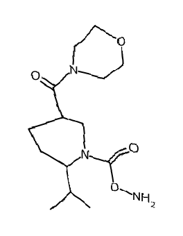 CC(C)C1CCC(C(=O)N2CCOCC2)CN1C(=O)ON